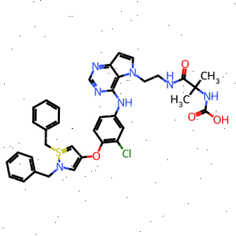 CC(C)(NC(=O)O)C(=O)NCCn1ccc2ncnc(Nc3ccc(OC4=CN(Cc5ccccc5)S(Cc5ccccc5)=C4)c(Cl)c3)c21